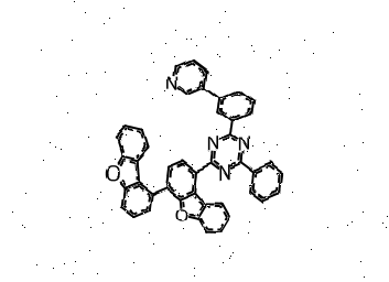 c1ccc(-c2nc(-c3cccc(-c4cccnc4)c3)nc(-c3ccc(-c4cccc5oc6ccccc6c45)c4oc5ccccc5c34)n2)cc1